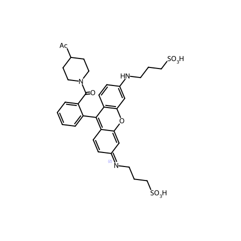 CC(=O)C1CCN(C(=O)c2ccccc2-c2c3cc/c(=N/CCCS(=O)(=O)O)cc-3oc3cc(NCCCS(=O)(=O)O)ccc23)CC1